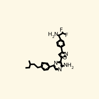 CCC(C)CCc1ccc(-c2cnc(N)c(-c3cc(-c4ccc(C(N)C(F)F)cc4)no3)n2)cc1